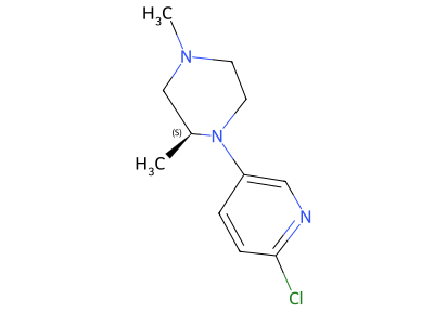 C[C@H]1CN(C)CCN1c1ccc(Cl)nc1